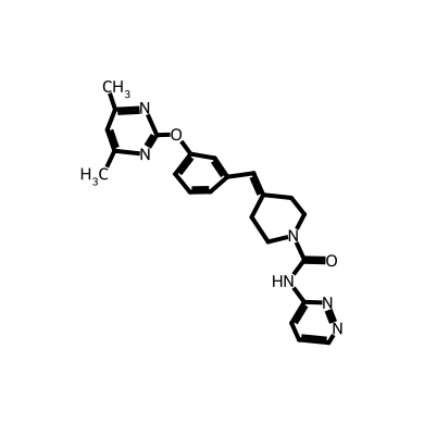 Cc1cc(C)nc(Oc2cccc(C=C3CCN(C(=O)Nc4cccnn4)CC3)c2)n1